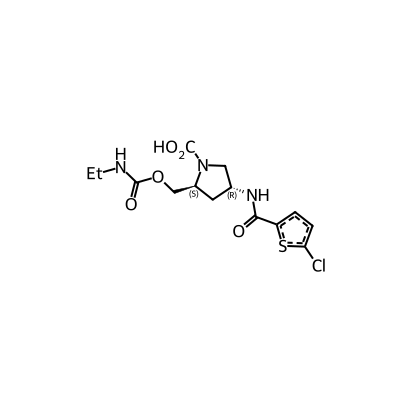 CCNC(=O)OC[C@@H]1C[C@@H](NC(=O)c2ccc(Cl)s2)CN1C(=O)O